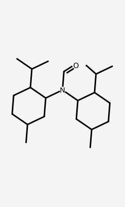 CC1CCC(C(C)C)C(N(C=O)C2CC(C)CCC2C(C)C)C1